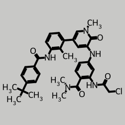 Cc1c(NC(=O)c2ccc(C(C)(C)C)cc2)cccc1-c1cc(Nc2ccc(C(=O)N(C)C)c(NC(=O)CCl)c2)c(=O)n(C)c1